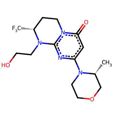 C[C@@H]1COCCN1c1cc(=O)n2c(n1)N(CCO)[C@H](C(F)(F)F)CC2